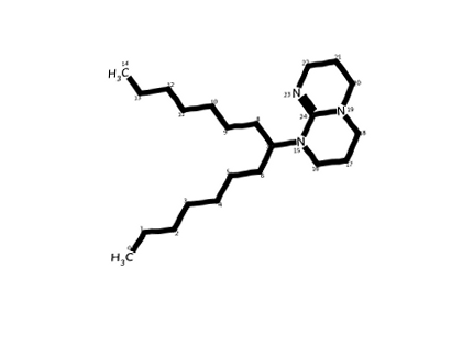 CCCCCCCC(CCCCCCC)N1CCCN2CCCN=C21